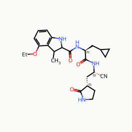 CCOc1cccc2c1C(C)C(C(=O)N[C@@H](CC1CC1)C(=O)N[C@H](C#N)C[C@@H]1CCNC1=O)N2